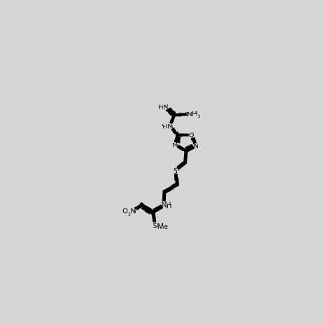 CSC(=C[N+](=O)[O-])NCCSCc1noc(NC(=N)N)n1